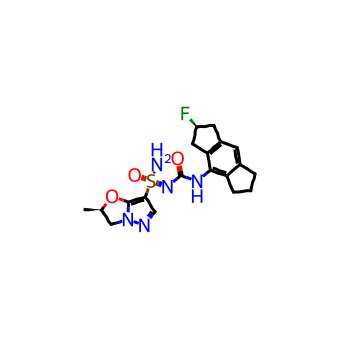 C[C@@H]1Cn2ncc([S@@](N)(=O)=NC(=O)Nc3c4c(cc5c3C[C@@H](F)C5)CCC4)c2O1